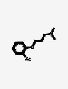 CC(=O)c1ccccc1OCCCN(C)C